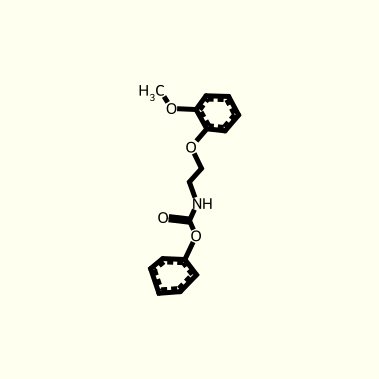 COc1ccccc1OCCNC(=O)Oc1ccccc1